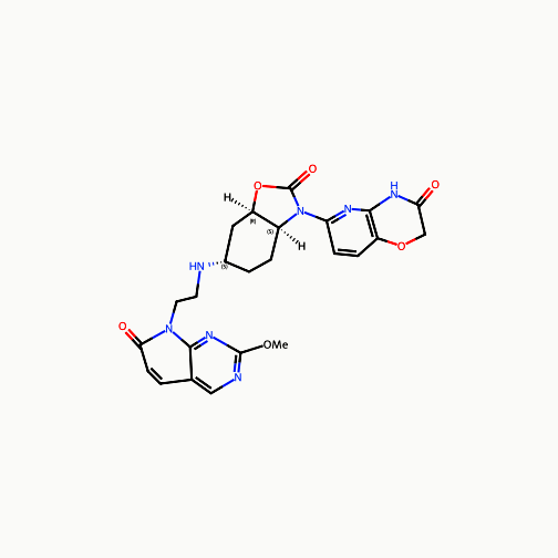 COc1ncc2ccc(=O)n(CCN[C@H]3CC[C@H]4[C@@H](C3)OC(=O)N4c3ccc4c(n3)NC(=O)CO4)c2n1